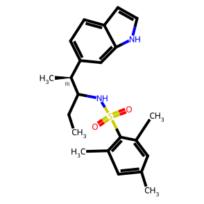 CCC(NS(=O)(=O)c1c(C)cc(C)cc1C)[C@@H](C)c1ccc2cc[nH]c2c1